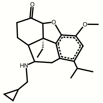 CC[C@@]12c3c4c(C(C)C)cc(OC)c3OC1C(=O)CCC2C(NCC1CC1)C4